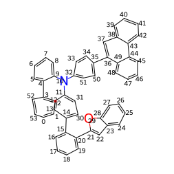 c1ccc(-c2ccccc2N(c2ccc(-c3ccccc3-c3cc4ccccc4o3)cc2)c2ccc(-c3cc4ccccc4c4ccccc34)cc2)cc1